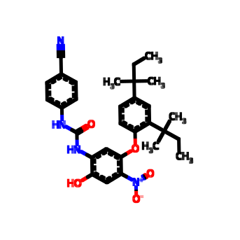 CCC(C)(C)c1ccc(Oc2cc(NC(=O)Nc3ccc(C#N)cc3)c(O)cc2[N+](=O)[O-])c(C(C)(C)CC)c1